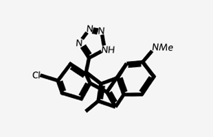 CNc1ccc2c3c1C(c1ccc(Cl)cc1)=C2C(C)=C3Cc1nnn[nH]1